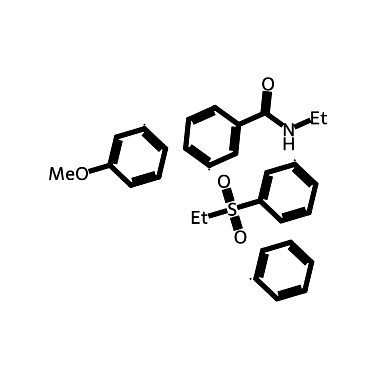 CCNC(=O)c1c[c]ccc1.CCS(=O)(=O)c1c[c]ccc1.COc1c[c]ccc1.[c]1ccccc1